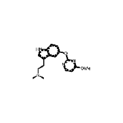 COc1ccnc(Oc2ccc3[nH]cc(CCN(C)C)c3c2)n1